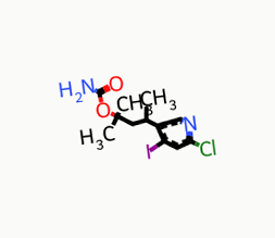 CC(CC(C)(C)OC(N)=O)c1cnc(Cl)cc1I